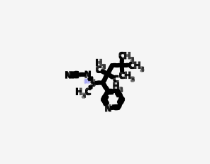 C/S(=N\C#N)C(c1cccnc1)C(C)(C)CC(C)(C)C